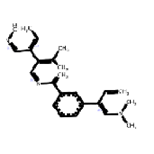 C=C/C(=C\N(C)C)c1cccc(C(=C)/N=C\C(=C(C)C)C(/C=N\C)=C/C)c1